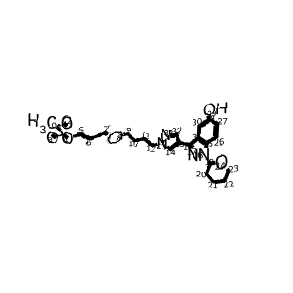 CS(=O)(=O)OCCCOCCCCn1cc(-c2nn(C3CCCCO3)c3ccc(O)cc23)cn1